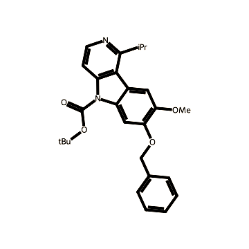 COc1cc2c3c(C(C)C)nccc3n(C(=O)OC(C)(C)C)c2cc1OCc1ccccc1